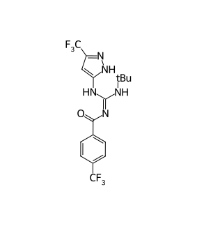 CC(C)(C)N/C(=N/C(=O)c1ccc(C(F)(F)F)cc1)Nc1cc(C(F)(F)F)n[nH]1